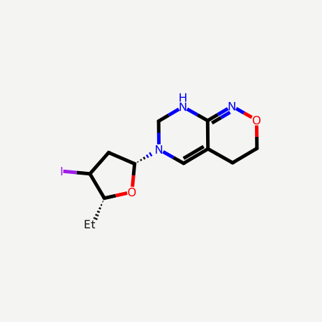 CC[C@H]1O[C@@H](N2C=C3CCON=C3NC2)CC1I